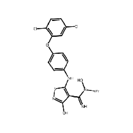 CC(C)N(O)C(=N)c1c(O)nsc1Nc1ccc(Oc2cc(Cl)ccc2Cl)cc1